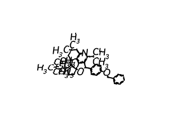 CC(C)c1nc2c(c3c1C(c1ccc(OCc4ccccc4)cc1)OC31CCCC1I)C(O[Si](C)(C)C(C)(C)C)CC(C)(C)C2